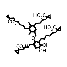 Cc1c(CCCCC2(C(=O)O)CC2)cc(COc2c(CCCCC3(C(=O)O)CC3)cc(O)c(O)c2CCCCCCC2(C(=O)O)CC2)c(C)c1CCCCCCC1(C(=O)O)CC1